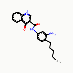 CCCCCc1ccc(NC(=O)c2c[nH]c3ccccc3c2=O)cc1N